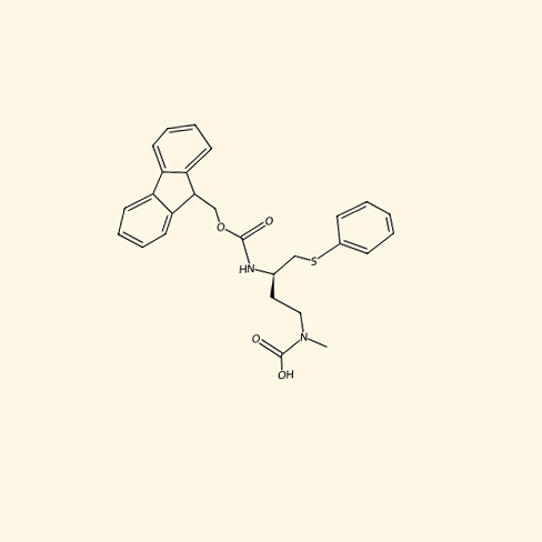 CN(CC[C@H](CSc1ccccc1)NC(=O)OCC1c2ccccc2-c2ccccc21)C(=O)O